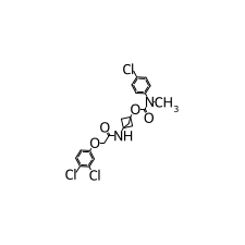 CN(C(=O)OC12CC(NC(=O)COc3ccc(Cl)c(Cl)c3)(C1)C2)c1ccc(Cl)cc1